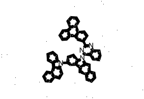 c1ccc2cc3c(cc2c1)c1cc(-n2c4ccccc4c4c5ccccc5ccc42)ccc1n3-c1nc(-c2ccc3c4ccccc4c4ccccc4c3c2)nc2ccccc12